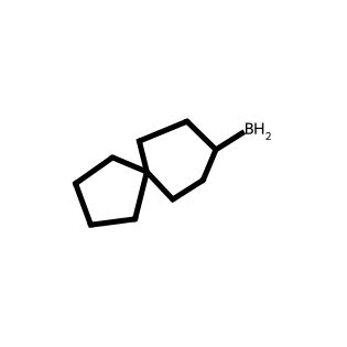 BC1CCC2(CCCC2)CC1